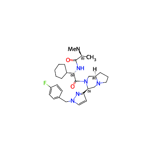 CN[C@@H](C)C(=O)N[C@H](C(=O)N1C[C@H]2CCCN2C[C@H]1c1ccn(Cc2ccc(F)cc2)n1)C1CCCCC1